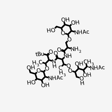 CC(=O)NC1C(OCC(N)C(=O)NC(C(=O)NC(C(=O)C(C)(C)C)C(C)OC2OC(CO)C(O)C(O)C2NC(C)=O)C(C)OOC(CO)C(O)C(O)[C@@H](C)NC(C)=O)OC(CO)C(O)C1O